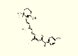 CC(=CC(=O)Nc1ccc(C)cc1)/C=C/C=C(C)/C=C/C1=C(C)CCCC1(C)C